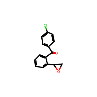 O=C(c1ccc(Cl)cc1)c1ccccc1C1CO1